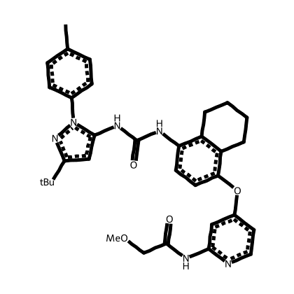 COCC(=O)Nc1cc(Oc2ccc(NC(=O)Nc3cc(C(C)(C)C)nn3-c3ccc(C)cc3)c3c2CCCC3)ccn1